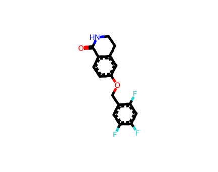 O=C1NCCc2cc(OCc3cc(F)c(F)cc3F)ccc21